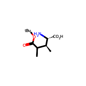 CC(C(=O)OC(C)(C)C)[C@H](C)[C@H](N)C(=O)O